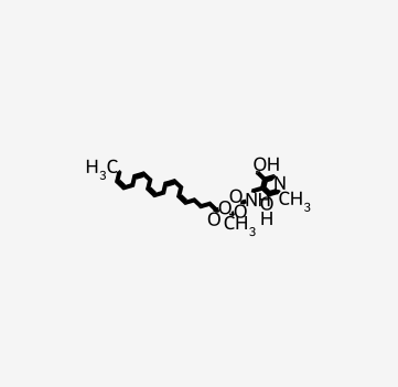 CC/C=C\C/C=C\C/C=C\C/C=C\C/C=C\CCCC(=O)OC(C)OC(=O)NCc1c(CO)cnc(C)c1O